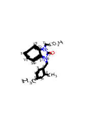 Cc1ccc(Cn2c(=O)n(CC(=O)O)c3ccccc32)c(C)c1